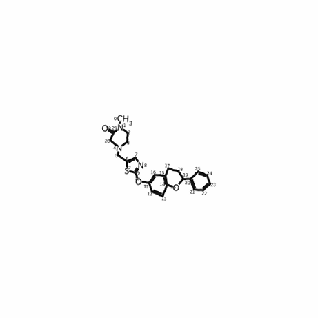 CN1CCN(Cc2cnc(Oc3ccc4c(c3)CCC(c3ccccc3)O4)s2)CC1=O